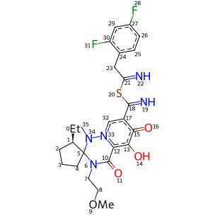 CC[C@@H]1CCCC12N(CCOC)C(=O)c1c(O)c(=O)c(C(=N)SC(=N)Cc3ccc(F)cc3F)cn1N2C